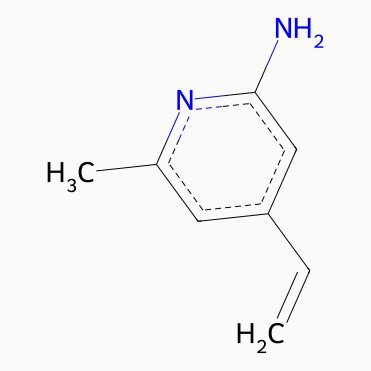 C=Cc1cc(C)nc(N)c1